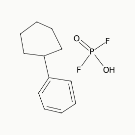 O=P(O)(F)F.c1ccc(C2CCCCC2)cc1